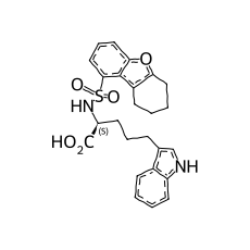 O=C(O)[C@H](CCCc1c[nH]c2ccccc12)NS(=O)(=O)c1cccc2oc3c(c12)CCCC3